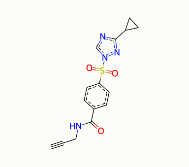 C#CCNC(=O)c1ccc(S(=O)(=O)n2cnc(C3CC3)n2)cc1